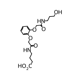 O=C(O)CCCNC(=O)COc1ccccc1OCC(=O)NCCCO